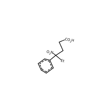 CCC(CCC(=O)O)(c1ccccc1)[N+](=O)[O-]